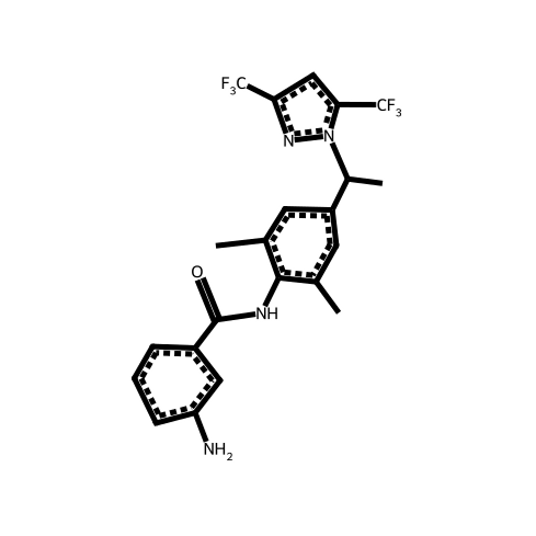 Cc1cc(C(C)n2nc(C(F)(F)F)cc2C(F)(F)F)cc(C)c1NC(=O)c1cccc(N)c1